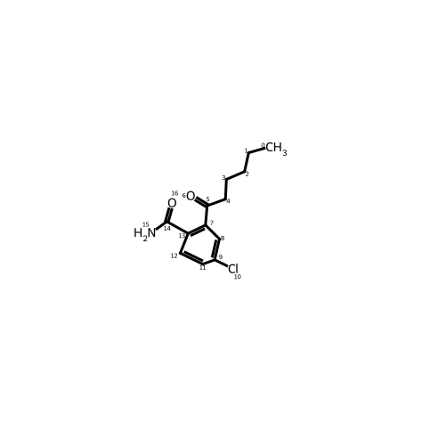 CCCCCC(=O)c1cc(Cl)ccc1C(N)=O